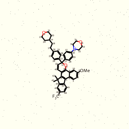 COc1ccc2c3c(c4c(c2c1)OC(c1ccc(CCC2CCOCC2)cc1)(c1ccc(N2CCOCC2)cc1)C=C4)C(C)(C)c1cc(C(F)(F)F)ccc1-3